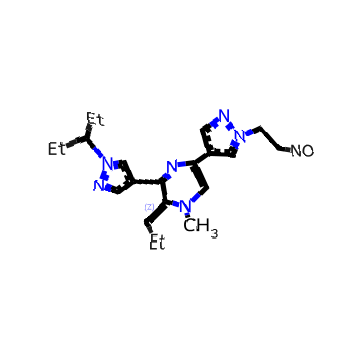 CC/C=C1/C(c2cnn(C(CC)CC)c2)=NC(c2cnn(CCN=O)c2)=CN1C